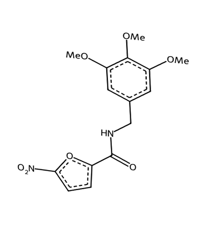 COc1cc(CNC(=O)c2ccc([N+](=O)[O-])o2)cc(OC)c1OC